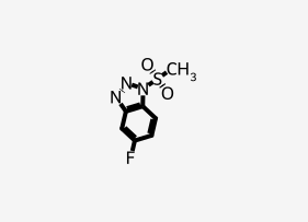 CS(=O)(=O)n1nnc2cc(F)ccc21